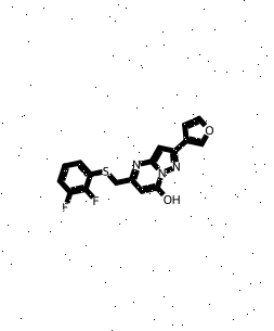 Oc1cc(CSc2cccc(F)c2F)nc2cc(-c3ccoc3)nn12